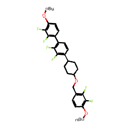 CCCCOc1ccc(COC2CCC(c3ccc(-c4ccc(OCCCC)c(F)c4F)c(F)c3F)CC2)c(F)c1F